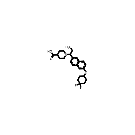 CCC(c1ccc2cc(OC3CCC(F)(F)CC3)ccc2c1)N1CCC(C(=O)O)CC1